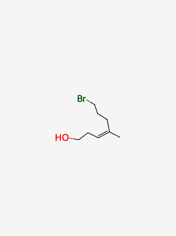 CC(=CCCO)CCCBr